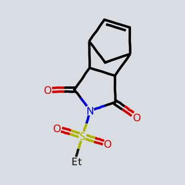 CCS(=O)(=O)N1C(=O)C2C3C=CC(C3)C2C1=O